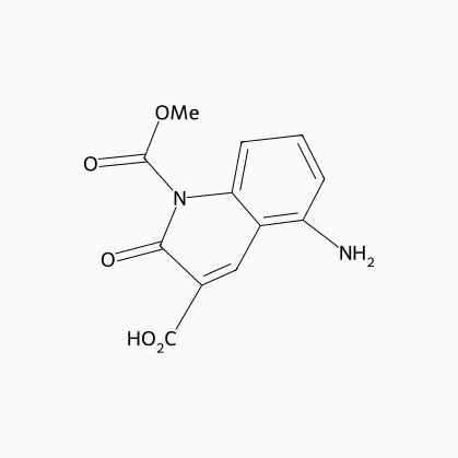 COC(=O)n1c(=O)c(C(=O)O)cc2c(N)cccc21